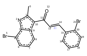 Cc1nc2c(Br)cccn2c1C(=O)/C=C/c1ccccc1Br